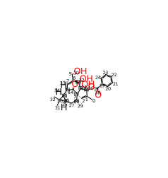 CC1=C[C@]23C(=O)[C@@H](C=C(CO)[C@@H](O)[C@]2(O)[C@H]1OC(=O)c1ccccc1)[C@H]1[C@@H](C[C@H]3C)C1(C)C